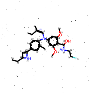 CC/C(C)=C\N(c1cc(OC)c(C(O)NCCF)c(OC)c1)c1ccc(C2=CC(CC)N2)cc1C